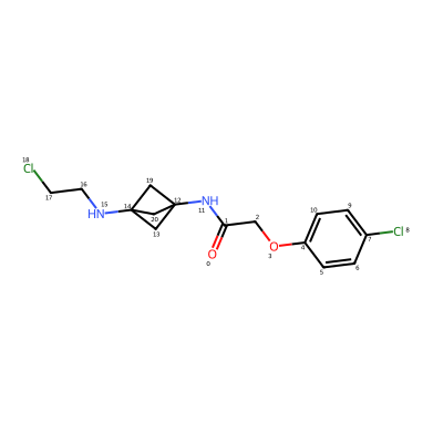 O=C(COc1ccc(Cl)cc1)NC12CC(NCCCl)(C1)C2